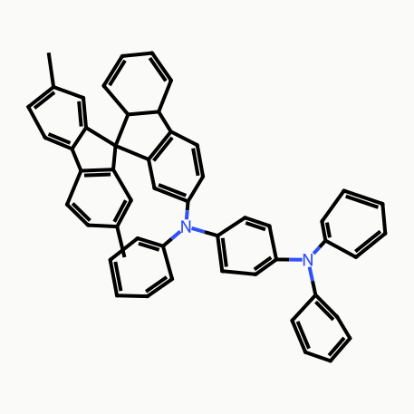 Cc1ccc2c(c1)C1(c3cc(C)ccc3-2)c2cc(N(c3ccccc3)c3ccc(N(c4ccccc4)c4ccccc4)cc3)ccc2C2C=CC=CC21